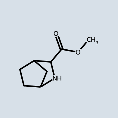 COC(=O)C1NC2CCC1C2